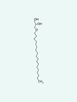 CCCCCCCCCCCCCCCCC[CH]OCC(O)CO